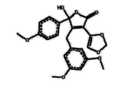 COc1ccc(C2(O)OC(=O)C(C3=COCO3)=C2Cc2cc(OC)cc(OC)c2)cc1